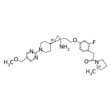 COCc1cnc(N2CCC([C@H]3CC3(N)CCOc3ccc(CC(=O)N4CCC[C@@H]4C)c(F)c3)CC2)nc1